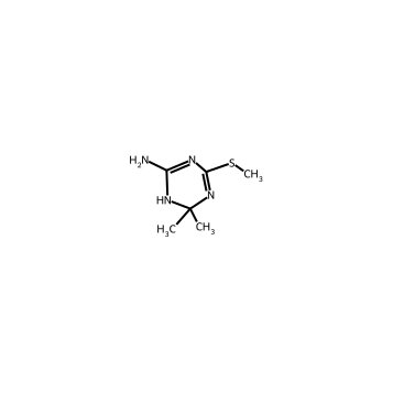 CSC1=NC(C)(C)NC(N)=N1